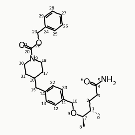 C[C@@H](CCC(N)=O)[C@@H](C)OCc1ccc(CC2CCN(C(=O)OCc3ccccc3)CC2)cc1